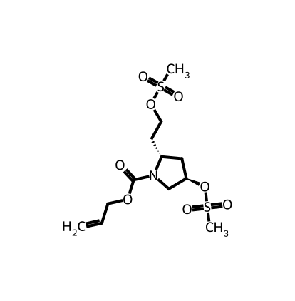 C=CCOC(=O)N1C[C@H](OS(C)(=O)=O)C[C@H]1CCOS(C)(=O)=O